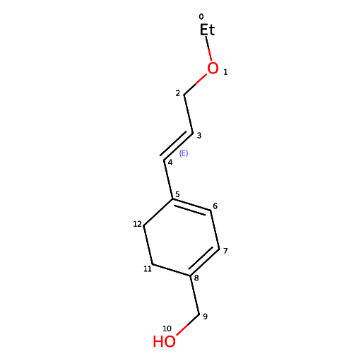 CCOC/C=C/C1=CC=C(CO)CC1